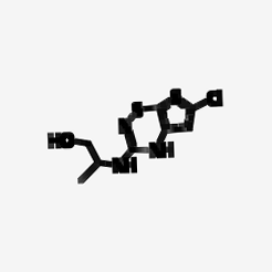 CC(CO)NC1=NSc2sc(Cl)cc2N1